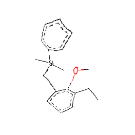 CCc1[c]ccc(C[Si](C)(C)c2ccccc2)c1OC